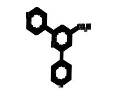 O=C(O)c1cc(-c2ccncc2)nc(-c2ccncc2)c1